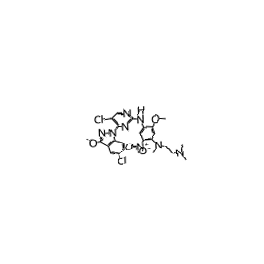 COc1cc(N(C)CCN(C)C)c([N+](=O)[O-])cc1Nc1ncc(Cl)c(-n2nc(OC)c3cc(Cl)ccc32)n1